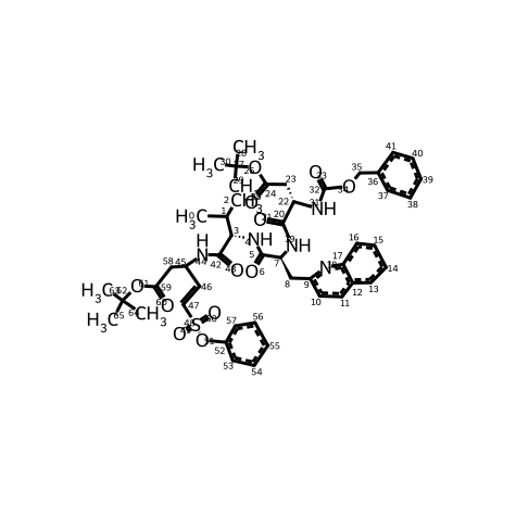 CC(C)[C@H](NC(=O)[C@H](Cc1ccc2ccccc2n1)NC(=O)[C@H](CC(=O)OC(C)(C)C)NC(=O)OCc1ccccc1)C(=O)NC(/C=C/S(=O)(=O)Oc1ccccc1)CC(=O)OC(C)(C)C